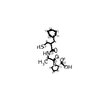 C[C@H](NC(=O)C(CS)Cc1ccccc1)C(=O)N1CCC[C@H]1C(=O)O